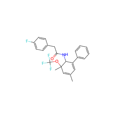 CC1=CC(C)(OC(F)(F)F)C(NC(=O)Cc2ccc(F)cc2)C(c2ccccc2)=C1